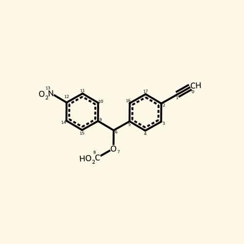 C#Cc1ccc(C(OC(=O)O)c2ccc([N+](=O)[O-])cc2)cc1